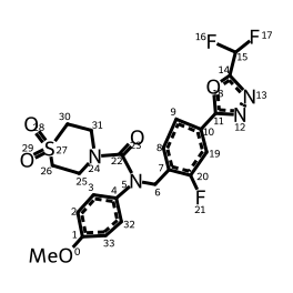 COc1ccc(N(Cc2ccc(-c3nnc(C(F)F)o3)cc2F)C(=O)N2CCS(=O)(=O)CC2)cc1